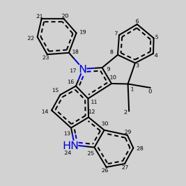 CC1(C)c2ccccc2-c2c1c1c3c(ccc1n2-c1ccccc1)[nH]c1ccccc13